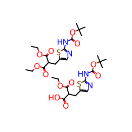 CCOC(=O)C(Cc1cnc(NC(=O)OC(C)(C)C)s1)C(=O)O.CCOC(=O)C(Cc1cnc(NC(=O)OC(C)(C)C)s1)C(=O)OCC